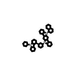 c1ccc(-n2c3ccccc3c3c(-c4cccc(-n5c6ccccc6c6cc7c(cc65)c5ccccc5n7-c5cccc6ccccc56)c4)cccc32)cc1